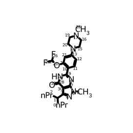 CCCC(CCC)c1nn(C)c2nc(-c3ccc(N4CCN(C)CC4)cc3OC(F)F)[nH]c(=O)c12